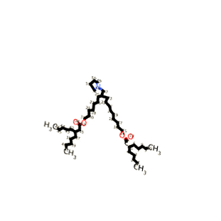 CCCCCC(CCCCC)CC(=O)OCCCCCCCCCC(CCCCCCCOC(=O)CC(CCCCC)CCCCC)CN1CCCC1